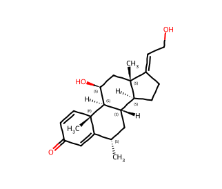 C[C@H]1C[C@@H]2[C@H]([C@@H](O)C[C@]3(C)C(=CCO)CC[C@@H]23)[C@@]2(C)C=CC(=O)C=C12